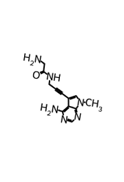 Cn1cc(C#CCNC(=O)CN)c2c(N)ncnc21